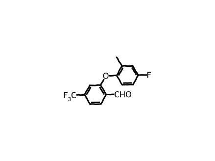 Cc1cc(F)ccc1Oc1cc(C(F)(F)F)ccc1C=O